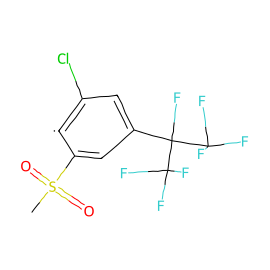 CS(=O)(=O)c1[c]c(Cl)cc(C(F)(C(F)(F)F)C(F)(F)F)c1